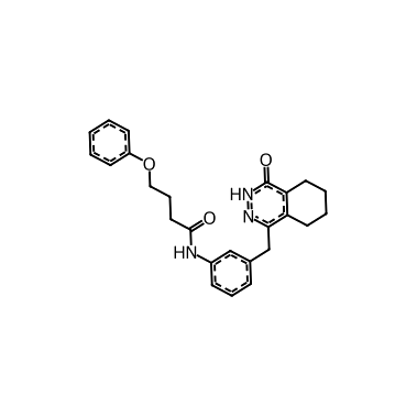 O=C(CCCOc1ccccc1)Nc1cccc(Cc2n[nH]c(=O)c3c2CCCC3)c1